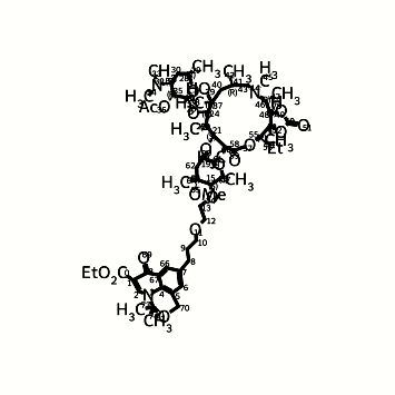 CCOC(=O)c1cn2c3c(cc(CCCOCCO[C@H]4[C@H](C)O[C@@H](O[C@H]5[C@H](C)[C@@H](O[C@@H]6O[C@H](C)C[C@H](N(C)C)[C@H]6OC(C)=O)[C@](C)(O)C[C@@H](C)CN(C)[C@H](C)[C@H]6OC(=O)O[C@]6(C)[C@@H](CC)OC(=O)[C@@H]5C)C[C@@]4(C)OC)cc3c1=O)COC2(C)C